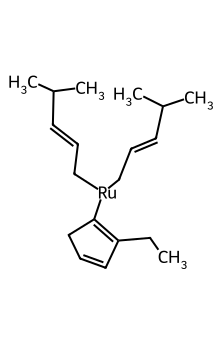 CCC1=[C]([Ru]([CH2]C=CC(C)C)[CH2]C=CC(C)C)CC=C1